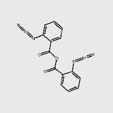 [N-]=[N+]=Nc1ccccc1C(=O)OC(=O)c1ccccc1N=[N+]=[N-]